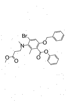 COC(=O)CCN(C)c1c(Br)cc(OCc2ccccc2)c(C(=O)Oc2ccccc2)c1C